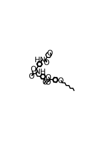 CCCCCCCOc1ccc(C(=O)Oc2ccc(CC(NC(=O)c3ccc(NC(=O)C4CCOCC4)cc3)C(C)=O)cc2OC)cc1